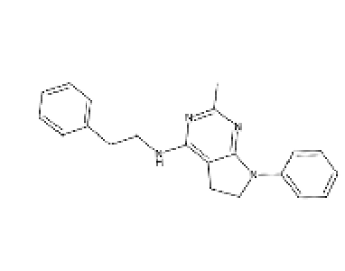 Cc1nc(NCCc2ccccc2)c2c(n1)N(c1ccccc1)CC2